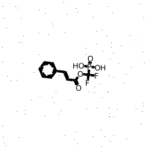 O=C(/C=C/c1ccccc1)OC(F)(F)P(=O)(O)O